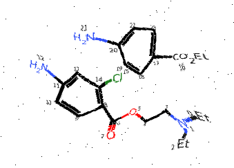 CCN(CC)CCOC(=O)c1ccc(N)cc1Cl.CCOC(=O)c1ccc(N)cc1